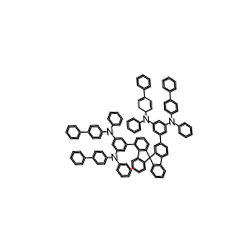 C1=CC(N(c2ccccc2)c2cc(-c3ccc4c(c3)C3(c5ccccc5-4)c4ccccc4-c4c(-c5cc(N(c6ccccc6)c6ccc(-c7ccccc7)cc6)cc(N(c6ccccc6)c6ccc(-c7ccccc7)cc6)c5)cccc43)cc(N(c3ccccc3)c3ccc(-c4ccccc4)cc3)c2)CC=C1c1ccccc1